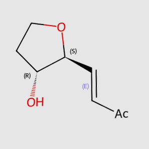 CC(=O)/C=C/[C@@H]1OCC[C@H]1O